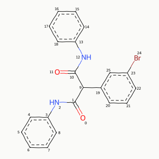 O=C(Nc1ccccc1)C(C(=O)Nc1ccccc1)c1cccc(Br)c1